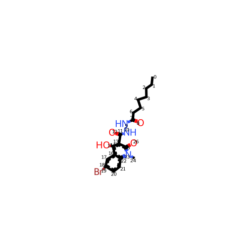 CCCCCCCC(=O)NNC(=O)c1c(O)c2cc(Br)ccc2n(C)c1=O